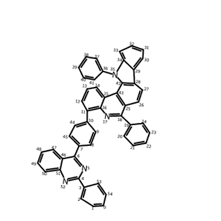 c1ccc(-c2nc(-c3ccc(-c4cccc5c4nc(-c4ccccc4)c4ccc6c7ccccc7n(-c7ccccc7)c6c45)cc3)c3ccccc3n2)cc1